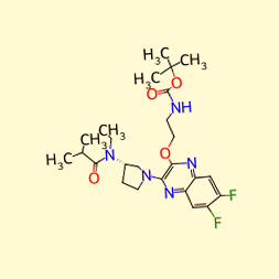 CCN(C(=O)C(C)C)[C@H]1CCN(c2nc3cc(F)c(F)cc3nc2OCCNC(=O)OC(C)(C)C)C1